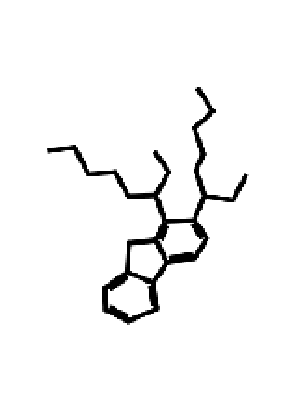 CCCCCC(CC)c1ccc2c(c1C(CC)CCCCC)Cc1ccccc1-2